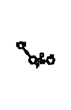 O=C(Nc1cccnc1)c1cc(C#CC2CSC=N2)ccc1F